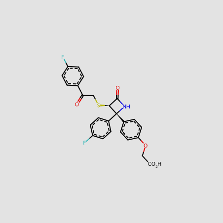 O=C(O)COc1ccc([C@]2(c3ccc(F)cc3)NC(=O)[C@@H]2SCC(=O)c2ccc(F)cc2)cc1